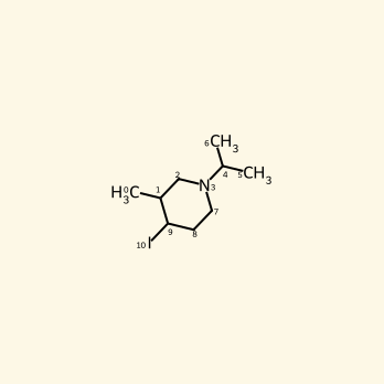 CC1CN(C(C)C)CCC1I